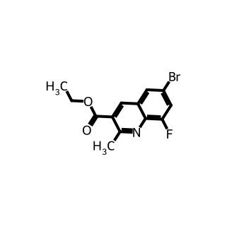 CCOC(=O)c1cc2cc(Br)cc(F)c2nc1C